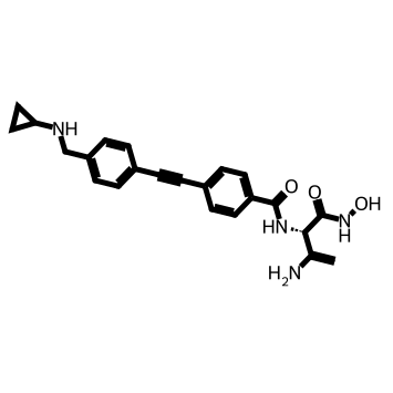 C=C(N)[C@H](NC(=O)c1ccc(C#Cc2ccc(CNC3CC3)cc2)cc1)C(=O)NO